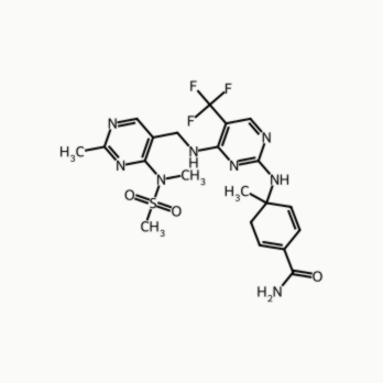 Cc1ncc(CNc2nc(NC3(C)C=CC(C(N)=O)=CC3)ncc2C(F)(F)F)c(N(C)S(C)(=O)=O)n1